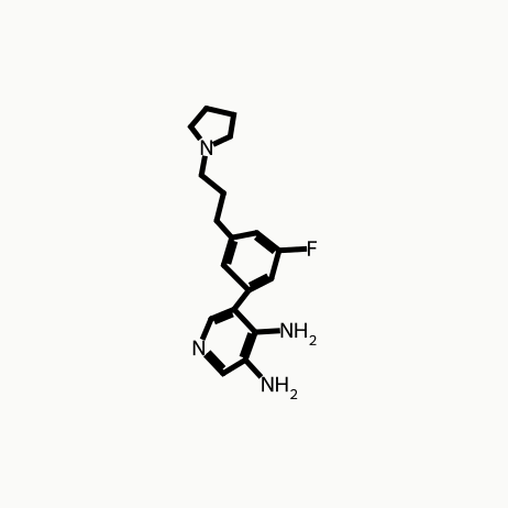 Nc1cncc(-c2cc(F)cc(CCCN3CCCC3)c2)c1N